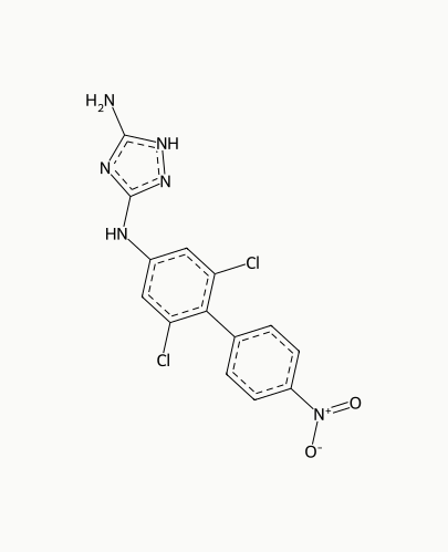 Nc1nc(Nc2cc(Cl)c(-c3ccc([N+](=O)[O-])cc3)c(Cl)c2)n[nH]1